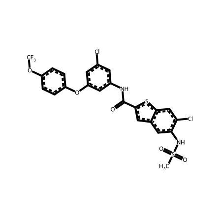 CS(=O)(=O)Nc1cc2cc(C(=O)Nc3cc(Cl)cc(Oc4ccc(OC(F)(F)F)cc4)c3)sc2cc1Cl